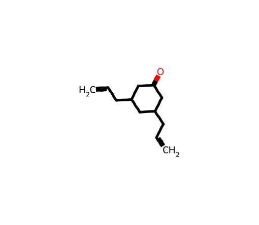 C=CCC1CC(=O)CC(CC=C)C1